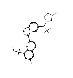 CC(C)(CO)c1cc(F)cc2ccc(-c3nnc4ccc([C@@H](N5CCC(N)C5)C(F)(F)F)cn34)nc12.Cl.Cl